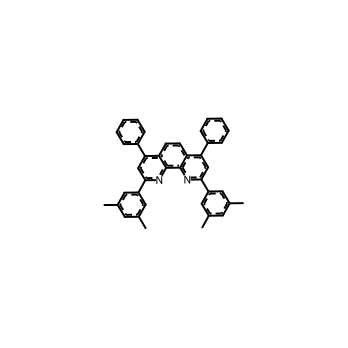 Cc1cc(C)cc(-c2cc(-c3ccccc3)c3ccc4c(-c5ccccc5)cc(-c5cc(C)cc(C)c5)nc4c3n2)c1